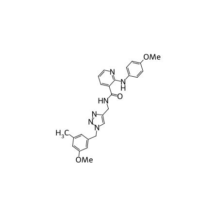 COc1ccc(Nc2ncccc2C(=O)NCc2cn(Cc3cc(C)cc(OC)c3)nn2)cc1